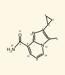 Cc1c(C2CC2)nc2c(C(N)=O)cccn12